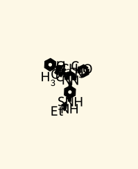 CCNC(=S)Nc1ccc(-c2nc(N3CCOC[C@@H]3C)cc(C(C)(C)S(=O)(=O)c3ccccc3)n2)cc1